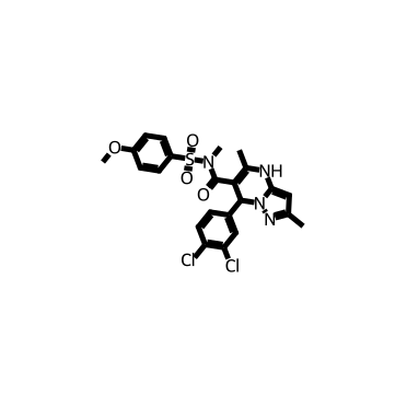 COc1ccc(S(=O)(=O)N(C)C(=O)C2=C(C)Nc3cc(C)nn3C2c2ccc(Cl)c(Cl)c2)cc1